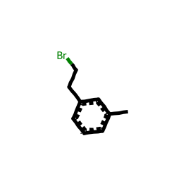 Cc1c[c]cc(CCBr)c1